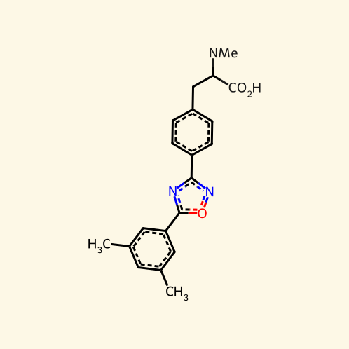 CNC(Cc1ccc(-c2noc(-c3cc(C)cc(C)c3)n2)cc1)C(=O)O